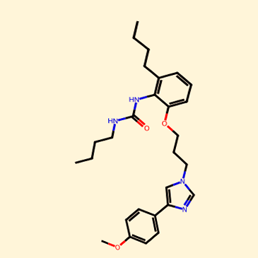 CCCCNC(=O)Nc1c(CCCC)cccc1OCCCn1cnc(-c2ccc(OC)cc2)c1